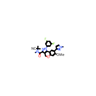 COc1cc2c(cc1-c1ccn(C)n1)-c1c(c(C(=O)N(C)C(C)(C)C#N)nn1-c1cc(F)cc(F)c1)CO2